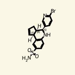 NS(=O)(=O)c1ccc2c(c1)[C@H]1C=CC[C@H]1[C@@H](c1ccc(Br)nc1)N2